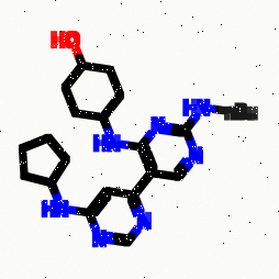 CCCCNc1ncc(-c2cc(NC3CCCC3)ncn2)c(NC2CCC(O)CC2)n1